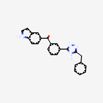 O=C(c1cccc(-c2nnc(Cc3ccccc3)[nH]2)c1)c1ccc2[nH]ccc2c1